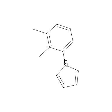 Cc1cccc([SiH]2C=CC=C2)c1C